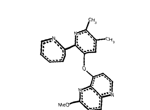 COc1ccc2nccc(Oc3cc(C)c(C)nc3-c3ccccn3)c2n1